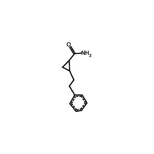 NC(=O)C1CC1CCc1ccccc1